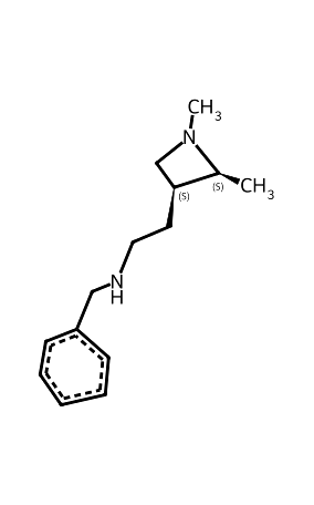 C[C@H]1[C@@H](CCNCc2ccccc2)CN1C